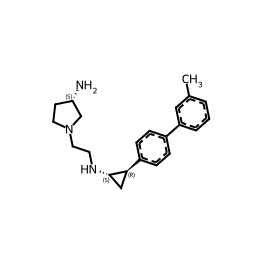 Cc1cccc(-c2ccc([C@H]3C[C@@H]3NCCN3CC[C@H](N)C3)cc2)c1